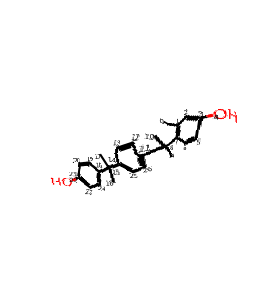 Cc1cc(O)ccc1C(C)(C)c1ccc(C(C)(C)c2ccc(O)cc2)cc1